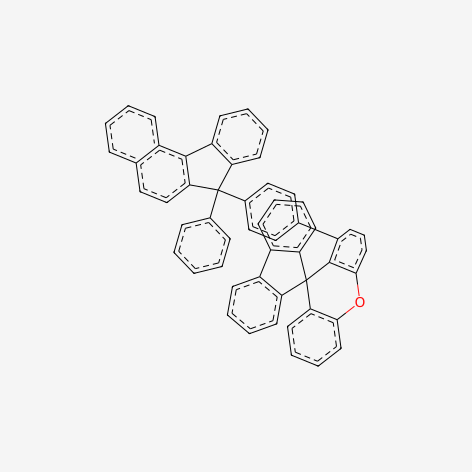 c1ccc(C2(c3ccc(-c4cccc5c4C4(c6ccccc6O5)c5ccccc5-c5ccccc54)cc3)c3ccccc3-c3c2ccc2ccccc32)cc1